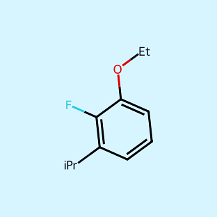 CCOc1cccc(C(C)C)c1F